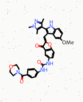 COc1ccc2[nH]c(-c3c(C)nn(C)c3C)c(/C=C3\Oc4ccc(NC(=O)Nc5ccc(C(=O)N6CCOCC6)cc5)cc4C3=O)c2c1